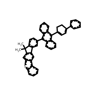 CC1(C)c2ccc(-c3c4ccccc4c(C4=CC=C(c5ccccc5)CC4)c4ccccc34)cc2-c2cc3c(cc21)sc1ccccc13